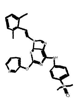 Cc1cccc(C)c1C=Cn1cnc2c(Nc3ccc(P(C)(C)=O)cc3)nc(Oc3cccnc3)nc21